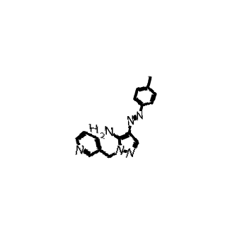 Cc1ccc(/N=N/c2cnn(Cc3cccnc3)c2N)cc1